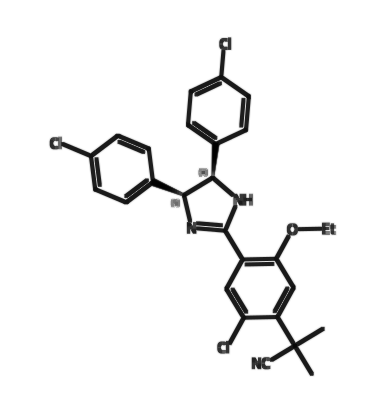 CCOc1cc(C(C)(C)C#N)c(Cl)cc1C1=N[C@@H](c2ccc(Cl)cc2)[C@@H](c2ccc(Cl)cc2)N1